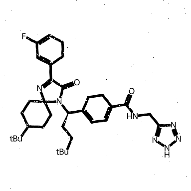 CC(C)(C)CC[C@H](C1=CC=C(C(=O)NCc2nn[nH]n2)CC1)N1C(=O)C(C2=CC(F)=CCC2)=NC12CCC(C(C)(C)C)CC2